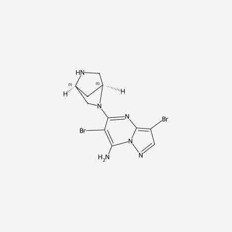 Nc1c(Br)c(N2C[C@@H]3C[C@H]2CN3)nc2c(Br)cnn12